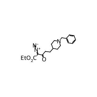 CCOC(=O)C(=[N+]=[N-])C(=O)CCC1CCN(Cc2ccccc2)CC1